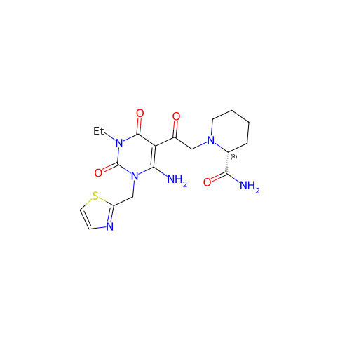 CCn1c(=O)c(C(=O)CN2CCCC[C@@H]2C(N)=O)c(N)n(Cc2nccs2)c1=O